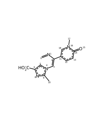 C=N/C(=C\n1cc(C(=O)O)nc1C)c1ccc(=O)n(C)c1